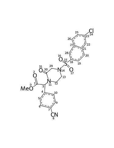 COC(=O)C(c1ccc(C#N)cc1)N1CCN(S(=O)(=O)c2ccc3cc(Cl)ccc3c2)CC1=O